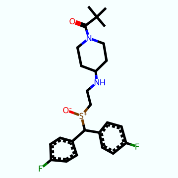 CC(C)(C)C(=O)N1CCC(NCC[S+]([O-])C(c2ccc(F)cc2)c2ccc(F)cc2)CC1